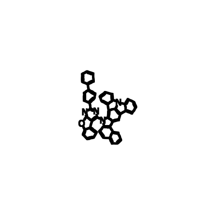 c1ccc(-c2ccc(-c3nc(-n4c5ccc6ccccc6c5c5cc6c7ccccc7n7c8ccccc8c(c54)c67)c4c(n3)oc3ccccc34)cc2)cc1